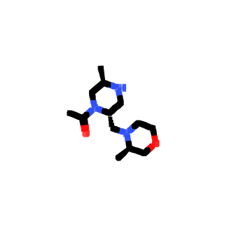 CC(=O)N1C[C@@H](C)NC[C@@H]1CN1CCOC[C@H]1C